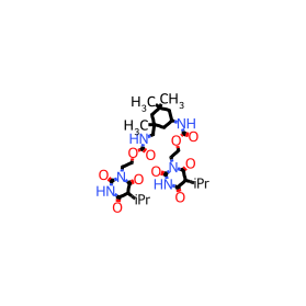 CC(C)C1C(=O)NC(=O)N(CCOC(=O)NCC2(C)CC(NC(=O)OCCN3C(=O)NC(=O)C(C(C)C)C3=O)CC(C)(C)C2)C1=O